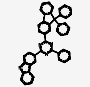 c1ccc(-c2nc(-c3ccc4c(c3)C(c3ccccc3)(c3ccccc3)c3ccccc3-4)nc(-c3ccc4sc5ccccc5c4c3)n2)cc1